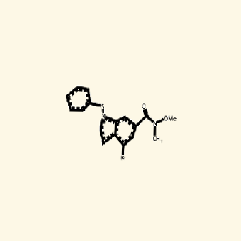 CON(C)C(=O)c1cc(Br)c2ccn(Sc3ccccc3)c2c1